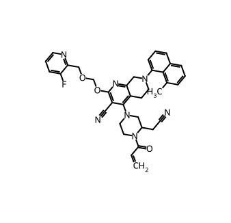 C=CC(=O)N1CCN(c2c(C#N)c(OCOCc3ncccc3F)nc3c2CCN(c2cccc4cccc(C)c24)C3)CC1CC#N